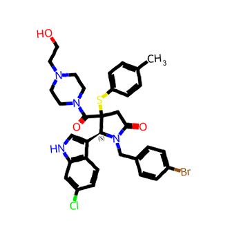 Cc1ccc(SC2(C(=O)N3CCN(CCO)CC3)CC(=O)N(Cc3ccc(Br)cc3)[C@H]2c2c[nH]c3cc(Cl)ccc23)cc1